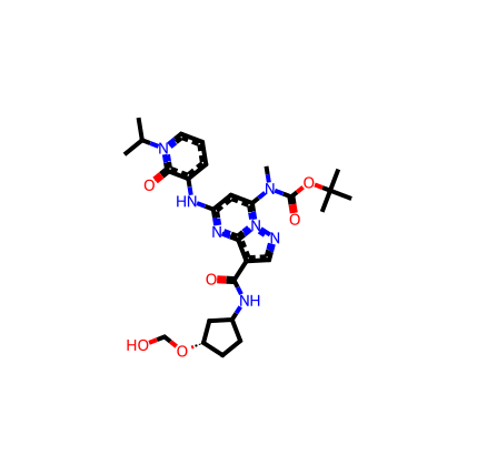 CC(C)n1cccc(Nc2cc(N(C)C(=O)OC(C)(C)C)n3ncc(C(=O)NC4CC[C@H](OCO)C4)c3n2)c1=O